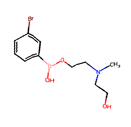 CN(CCO)CCOB(O)c1cccc(Br)c1